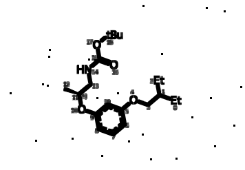 CCC(CC)COc1cccc(O[C@@H](C)CNC(=O)OC(C)(C)C)c1